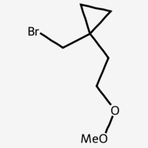 COOCCC1(CBr)CC1